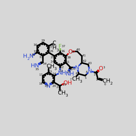 C=CC(=O)N1CC(C)N2C(=N)c3c(Nc4c(C)ccnc4C(C)O)cc(-c4c(C)ccc(N)c4C=N)c(F)c3OCCC2C1